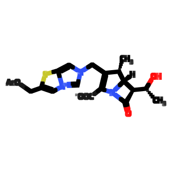 CC(=O)OCc1c[n+]2cn(CC3=C(C(=O)[O-])N4C(=O)[C@H]([C@@H](C)O)[C@H]4[C@H]3C)cc2s1